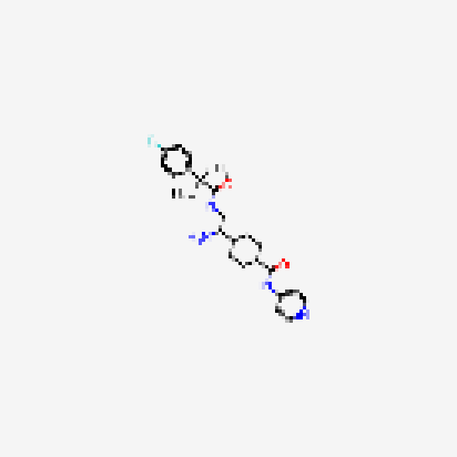 CC(C)(C(=O)NCC(N)C1CCC(C(=O)Nc2ccncc2)CC1)c1ccc(F)cc1